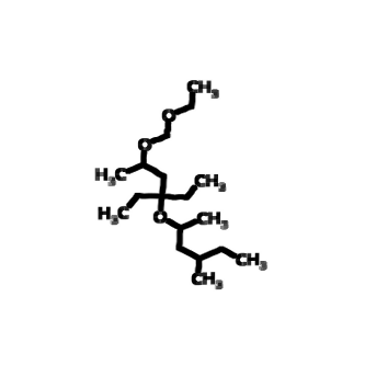 CCOCOC(C)CC(CC)(CC)OC(C)CC(C)CC